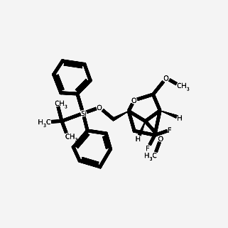 COC1O[C@@]2(CO[Si](c3ccccc3)(c3ccccc3)C(C)(C)C)CC(F)(F)[C@@H]1[C@@H]2OC